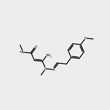 CNC(=O)/C=C(\N)N(C)/N=C/Cc1ccc(OC)cc1